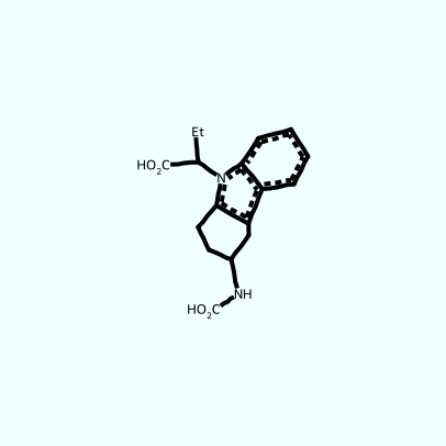 CCC(C(=O)O)n1c2c(c3ccccc31)CC(NC(=O)O)CC2